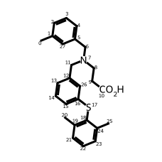 Cc1cccc(CN(CCC(=O)O)Cc2cccc(Sc3c(C)cccc3C)c2)c1